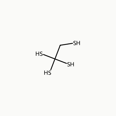 SCC(S)(S)S